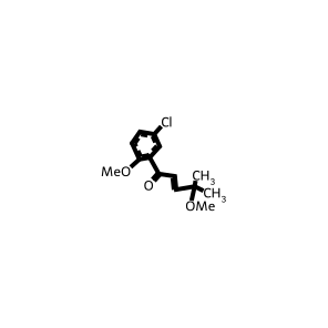 COc1ccc(Cl)cc1C(=O)C=CC(C)(C)OC